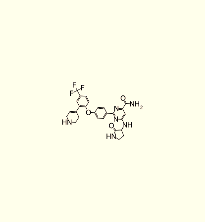 NC(=O)c1cc(N[C@H]2CCNC2=O)nc(-c2ccc(Oc3ccc(C(F)(F)F)cc3C3=CCNCC3)cc2)n1